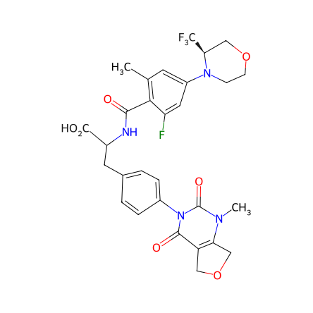 Cc1cc(N2CCOC[C@@H]2C(F)(F)F)cc(F)c1C(=O)NC(Cc1ccc(-n2c(=O)c3c(n(C)c2=O)COC3)cc1)C(=O)O